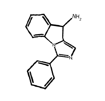 NC1c2ccccc2-n2c1cnc2-c1ccccc1